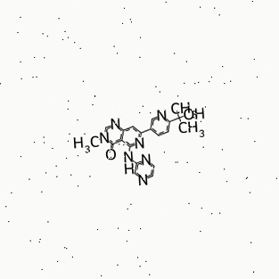 Cn1cnc2cc(-c3ccc(C(C)(C)O)nc3)nc(Nc3cnccn3)c2c1=O